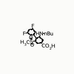 CCCCNc1cc(C(=O)O)cc(S(C)(=O)=O)c1-c1cc(F)cc(F)c1